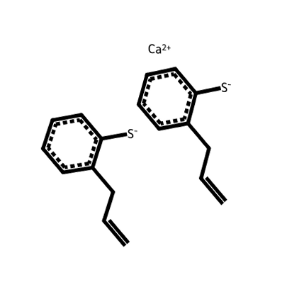 C=CCc1ccccc1[S-].C=CCc1ccccc1[S-].[Ca+2]